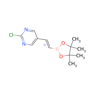 CC1(C)OB(/C=C/c2cnc(Cl)nc2)OC1(C)C